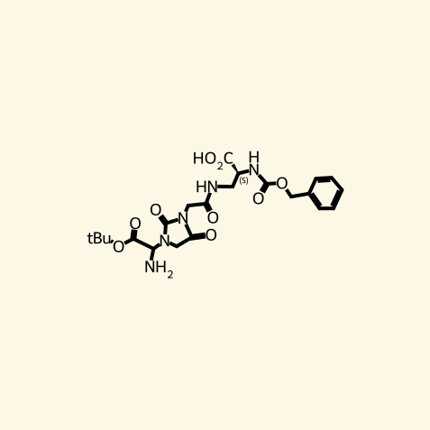 CC(C)(C)OC(=O)C(N)N1CC(=O)N(CC(=O)NC[C@H](NC(=O)OCc2ccccc2)C(=O)O)C1=O